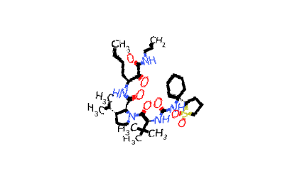 C=CCNC(=O)C(=O)[C@H](CCCC)NC(=O)[C@@H]1[C@@H](C(C)C)CCN1C(=O)[C@@H](NC(=O)NC1([C@@H]2CCCS2(=O)=O)CCCCC1)C(C)(C)C